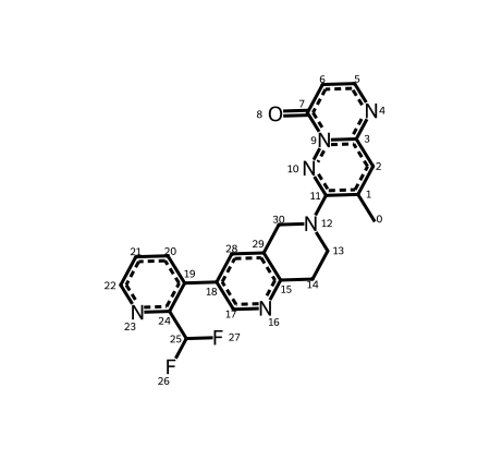 Cc1cc2nccc(=O)n2nc1N1CCc2ncc(-c3cccnc3C(F)F)cc2C1